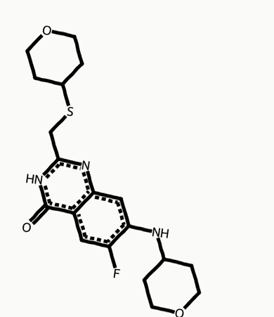 O=c1[nH]c(CSC2CCOCC2)nc2cc(NC3CCOCC3)c(F)cc12